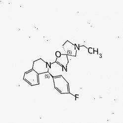 CCN1CC[C@@]2(CN=C(N3CCc4ccccc4[C@@H]3c3ccc(F)cc3)O2)C1